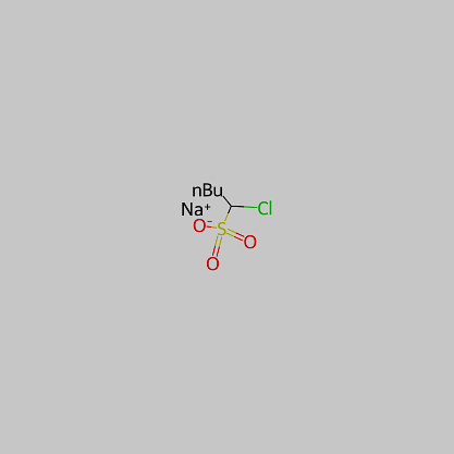 CCCCC(Cl)S(=O)(=O)[O-].[Na+]